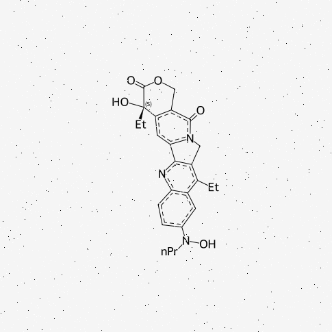 CCCN(O)c1ccc2nc3c(c(CC)c2c1)Cn1c-3cc2c(c1=O)COC(=O)[C@]2(O)CC